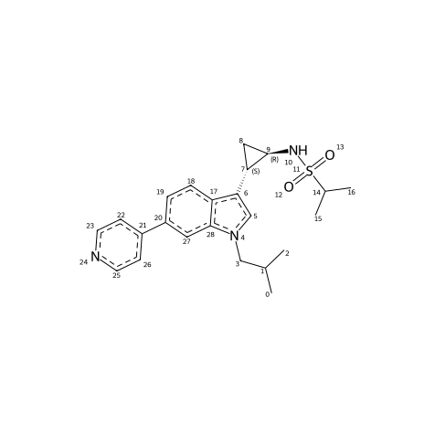 CC(C)Cn1cc([C@@H]2C[C@H]2NS(=O)(=O)C(C)C)c2ccc(-c3ccncc3)cc21